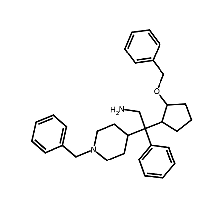 NCC(c1ccccc1)(C1CCN(Cc2ccccc2)CC1)C1CCCC1OCc1ccccc1